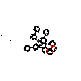 c1ccc(-c2cccc(N3c4cc(-c5ccccc5)ccc4B4c5cccc(-c6ccccc6)c5N(c5ccccc5-c5ccccc5)c5cc(-c6ccccc6)cc3c54)c2)cc1